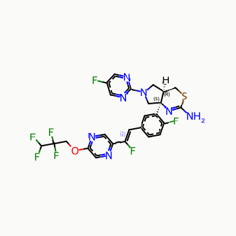 NC1=N[C@@]2(c3cc(/C=C(\F)c4cnc(OCC(F)(F)C(F)F)cn4)ccc3F)CN(c3ncc(F)cn3)C[C@H]2CS1